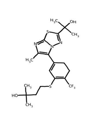 Cc1nc2sc(C(C)(C)O)nn2c1C1=CC(SCCC(C)(C)O)=C(C(F)(F)F)CC1